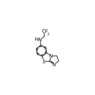 FC(F)(F)CNc1ccc2c(c1)N1CCN=C1S2